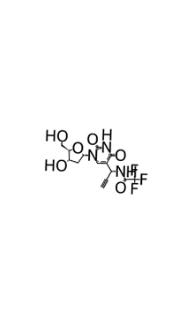 C#CC(NC(=O)C(F)(F)F)c1cn([C@H]2C[C@H](O)[C@@H](CO)O2)c(=O)[nH]c1=O